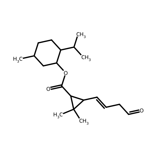 CC1CCC(C(C)C)C(OC(=O)C2C(C=CCC=O)C2(C)C)C1